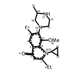 CCc1cc(=O)c2cc(F)c(N3CCNC(C)C3)c(OC)c2n1C1CC1